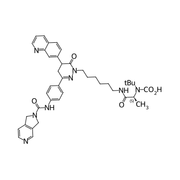 C[C@@H](C(=O)NCCCCCCN1N=C(c2ccc(NC(=O)N3Cc4ccncc4C3)cc2)CC(c2ccc3cccnc3c2)C1=O)N(C(=O)O)C(C)(C)C